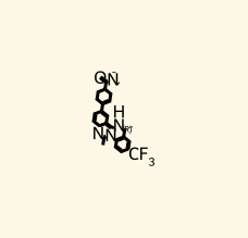 Cc1nc(N[C@H](C)c2cccc(C(F)(F)F)c2)c2cc(C3=CCC(C(=O)N(C)C)CC3)ccc2n1